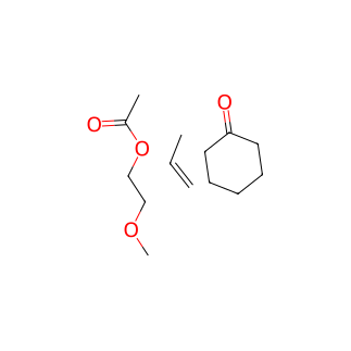 C=CC.COCCOC(C)=O.O=C1CCCCC1